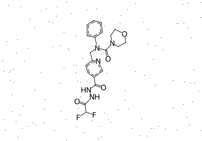 O=C(NNC(=O)C(F)F)c1ccc(CN(C(=O)N2CCOCC2)c2ccccc2)nc1